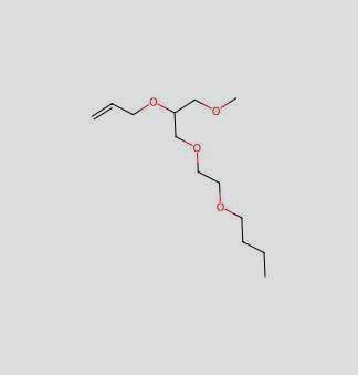 C=CCOC(COC)COCCOCCCC